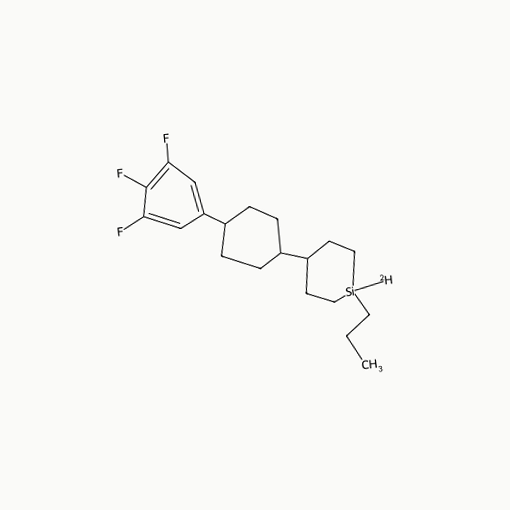 [2H][Si]1(CCC)CCC(C2CCC(c3cc(F)c(F)c(F)c3)CC2)CC1